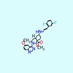 COC(=O)[C@]12CC[C@H](NC/C=C/c3cc(F)ccc3F)C[C@@H]1CCN(c1ncnc3ccc(OC)cc13)C2